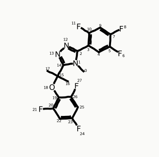 Cn1c(-c2cc(F)c(F)cc2F)nnc1C(C)(C)Oc1c(F)cc(F)cc1F